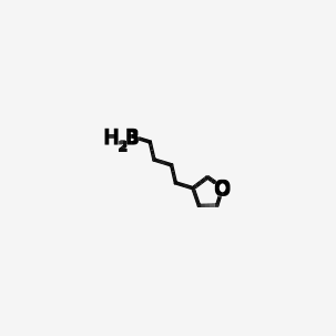 BCCCCC1CCOC1